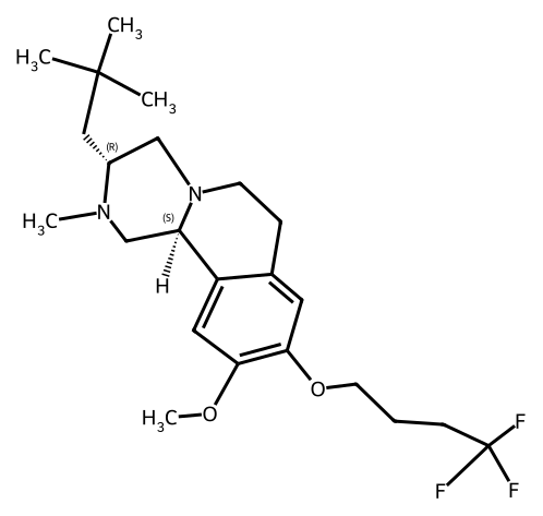 COc1cc2c(cc1OCCCC(F)(F)F)CCN1C[C@@H](CC(C)(C)C)N(C)C[C@H]21